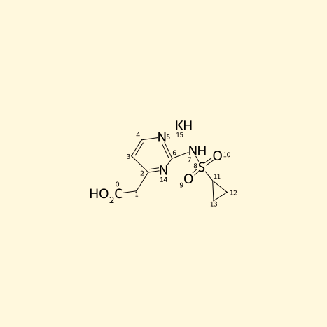 O=C(O)Cc1ccnc(NS(=O)(=O)C2CC2)n1.[KH]